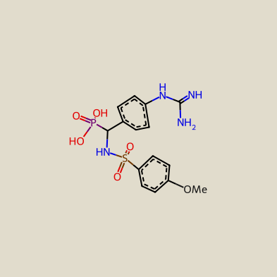 COc1ccc(S(=O)(=O)NC(c2ccc(NC(=N)N)cc2)P(=O)(O)O)cc1